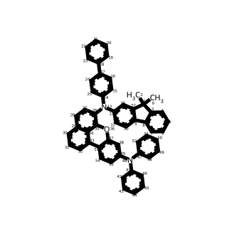 CC1(C)c2ccccc2-c2ccc(N(c3ccc(-c4ccccc4)cc3)c3ccc4cccc5c4c3Oc3cc(N(c4ccccc4)c4ccccc4)ccc3-5)cc21